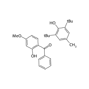 COc1ccc(C(=O)c2ccccc2)c(O)c1.Cc1cc(C(C)(C)C)c(O)c(C(C)(C)C)c1